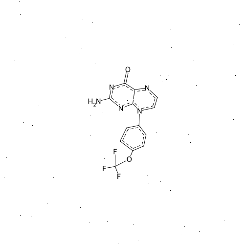 Nc1nc2n(-c3ccc(OC(F)(F)F)cc3)ccnc-2c(=O)n1